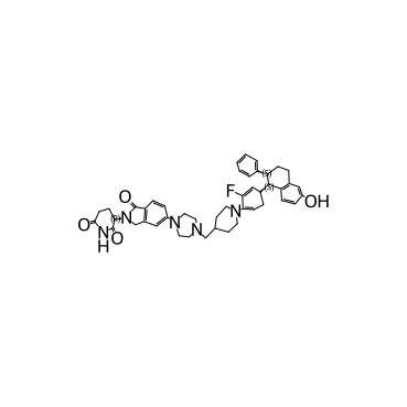 O=C1CC[C@@H](N2Cc3cc(N4CCN(CC5CCN(C6=CCC([C@@H]7c8ccc(O)cc8CC[C@@H]7c7ccccc7)C=C6F)CC5)CC4)ccc3C2=O)C(=O)N1